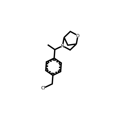 CC(c1ccc(CCl)cc1)N1CC2CC1CO2